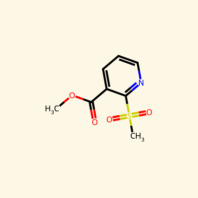 COC(=O)c1cccnc1S(C)(=O)=O